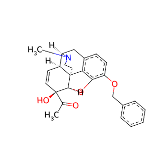 CC(=O)[C@]1(O)C=C[C@H]2[C@H]3Cc4ccc(OCc5ccccc5)c5c4[C@@]2(CCN3C)[C@H]1O5